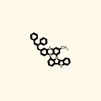 Cc1cc2c3c(c1)-n1c4c(cccc4c4sc5ccccc5c41)B3c1ccc(C/C(=C/c3ccccc3)c3ccccc3)cc1S2